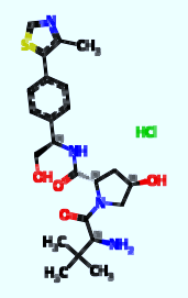 Cc1ncsc1-c1ccc([C@H](CO)NC(=O)[C@@H]2C[C@@H](O)CN2C(=O)[C@@H](N)C(C)(C)C)cc1.Cl